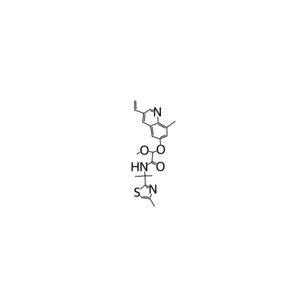 C=Cc1cnc2c(C)cc(OC(OC)C(=O)NC(C)(C)c3nc(C)cs3)cc2c1